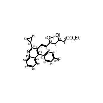 CCOC(=O)CC(O)CC(O)C=Cc1c(C2CC2)nc2ccccc2c1-c1ccc(F)cc1